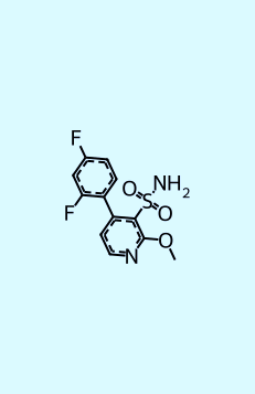 COc1nccc(-c2ccc(F)cc2F)c1S(N)(=O)=O